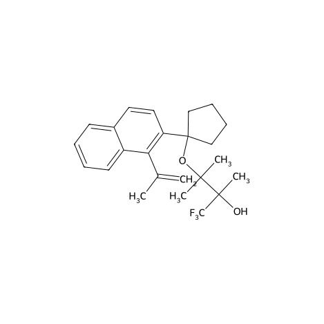 C=C(C)c1c(C2(OC(C)(C)C(C)(O)C(F)(F)F)CCCC2)ccc2ccccc12